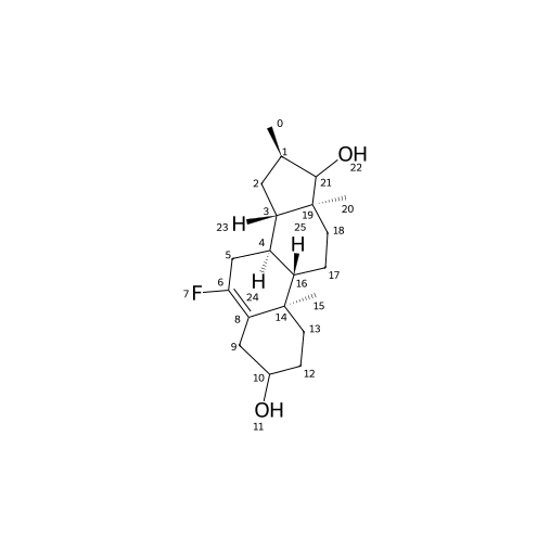 C[C@@H]1C[C@H]2[C@@H]3CC(F)=C4CC(O)CC[C@]4(C)[C@H]3CC[C@]2(C)C1O